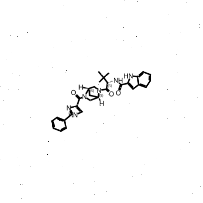 CC(C)(C)[C@H](NC(=O)c1cc2ccccc2[nH]1)C(=O)N1C[C@@H]2C[C@H]1CN2C(=O)c1c[nH]c(-c2ccccc2)n1